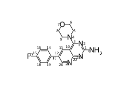 Nc1nc(N2CCOCC2)c2cc(-c3ccc(F)cc3)cnc2n1